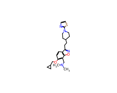 CN(C)Cc1c(OCC2CC2)ccc2c(CCC3CCN(c4nccs4)CC3)noc12